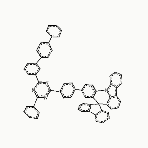 c1ccc(-c2ccc(-c3cccc(-c4nc(-c5ccccc5)nc(-c5ccc(-c6ccc7c(c6)C6(c8ccccc8-c8ccccc86)c6cccc8c9ccccc9n-7c68)cc5)n4)c3)cc2)cc1